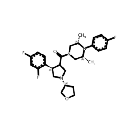 C[C@@H]1CN(C(=O)C2CN([C@@H]3CCOC3)C[C@H]2c2ccc(F)cc2F)C[C@H](C)N1c1ccc(F)cc1